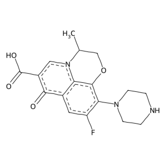 CC1COc2c(N3CCNCC3)c(F)cc3c(=O)c(C(=O)O)cn1c23